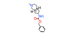 CN1CC[C@H]2CC(NC(=O)OCc3ccccc3)C[C@H]2C1